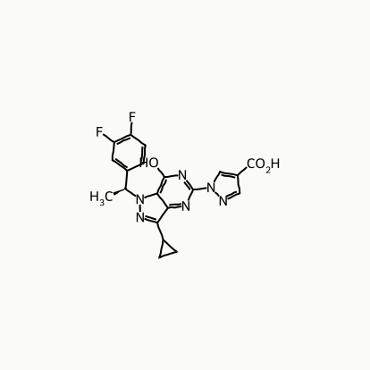 C[C@@H](c1ccc(F)c(F)c1)n1nc(C2CC2)c2nc(-n3cc(C(=O)O)cn3)nc(O)c21